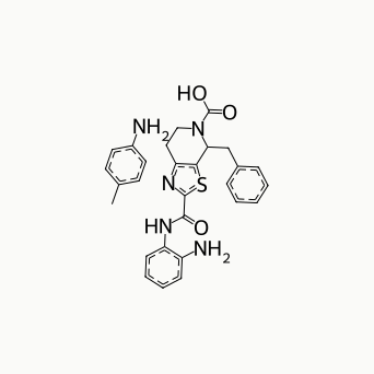 Cc1ccc(N)cc1.Nc1ccccc1NC(=O)c1nc2c(s1)C(Cc1ccccc1)N(C(=O)O)CC2